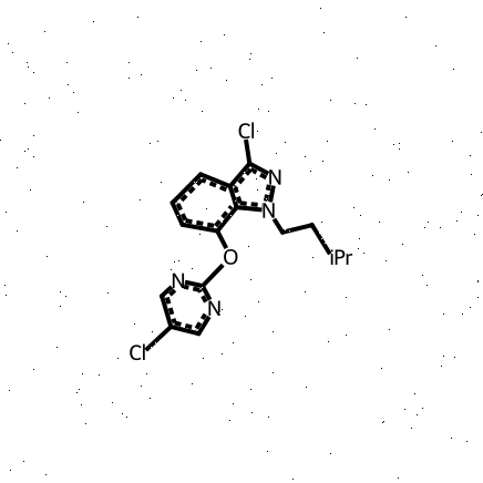 CC(C)CCn1nc(Cl)c2cccc(Oc3ncc(Cl)cn3)c21